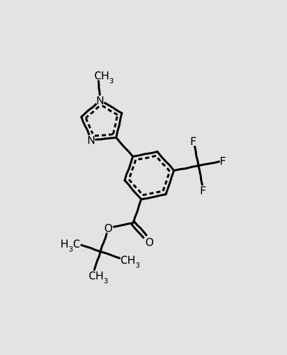 Cn1cnc(-c2cc(C(=O)OC(C)(C)C)cc(C(F)(F)F)c2)c1